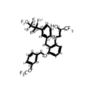 O[C@H](CNc1cccc(OCc2cccc(OC(F)(F)F)c2)c1Cc1cccc(C(F)(F)C(F)(F)C(F)(F)F)c1)C(F)(F)F